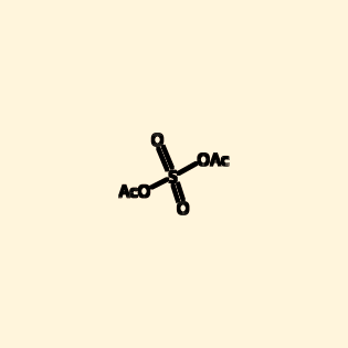 CC(=O)OS(=O)(=O)OC(C)=O